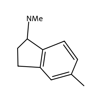 CNC1CCc2cc(C)ccc21